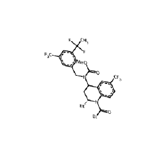 CCC(=O)N1c2ccc(C(F)(F)F)cc2C(N(Cc2cc(C(C)(F)F)cc(C(F)(F)F)c2)C(=O)OC)C[C@H]1CC